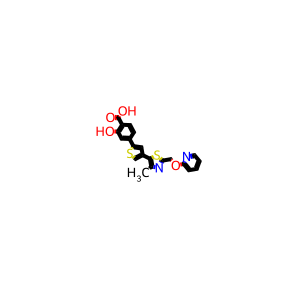 Cc1nc(COc2ccccn2)sc1-c1csc(-c2ccc(C(=O)O)c(O)c2)c1